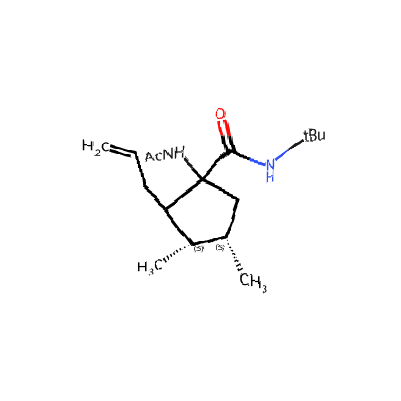 C=CCC1[C@@H](C)[C@@H](C)CC1(NC(C)=O)C(=O)NC(C)(C)C